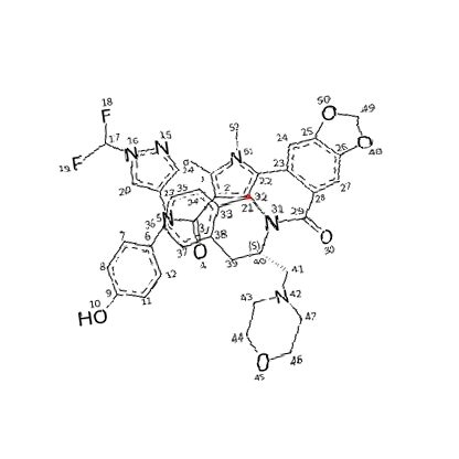 Cc1c(C(=O)N(c2ccc(O)cc2)c2cnn(C(F)F)c2)cc(-c2cc3c(cc2C(=O)N2Cc4ccccc4C[C@H]2CN2CCOCC2)OCO3)n1C